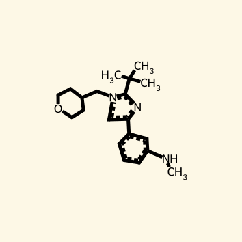 CNc1cccc(-c2cn(CC3CCOCC3)c(C(C)(C)C)n2)c1